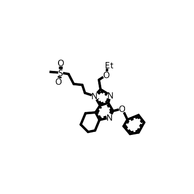 CCOCc1nc2c(Oc3ccccc3)nc3c(c2n1CCCCS(C)(=O)=O)CCCC3